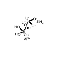 O[Si](O)(O)O.[Al+3].[Li+].[O-][Si]([O-])([O-])[O-].[SiH4]